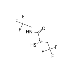 O=C(NCC(F)(F)F)N(S)CC(F)(F)F